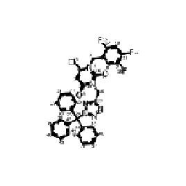 O=c1cc(Cl)n(Cc2cc(F)c(F)cc2F)c(=O)n1Cc1nnn(C(c2ccccc2)(c2ccccc2)c2ccccc2)n1